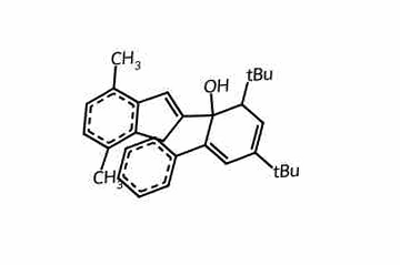 Cc1ccc(C)c2c1C=C(C1(O)C(c3ccccc3)=CC(C(C)(C)C)=CC1C(C)(C)C)C2